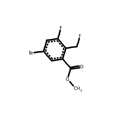 COC(=O)c1cc(Br)cc(F)c1CF